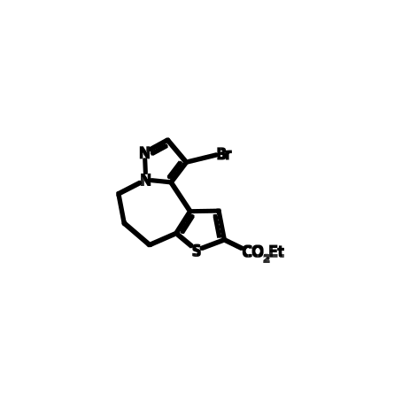 CCOC(=O)c1cc2c(s1)CCCn1ncc(Br)c1-2